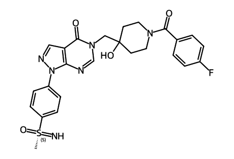 C[S@](=N)(=O)c1ccc(-n2ncc3c(=O)n(CC4(O)CCN(C(=O)c5ccc(F)cc5)CC4)cnc32)cc1